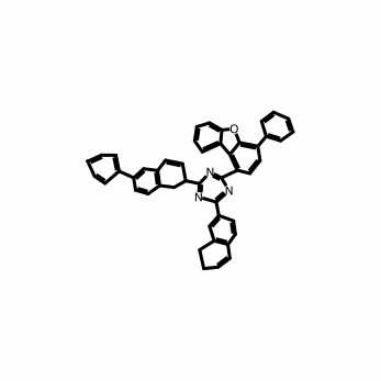 C1=Cc2ccc(-c3nc(-c4ccc(-c5ccccc5)c5oc6ccccc6c45)nc(C4C=Cc5cc(-c6ccccc6)ccc5C4)n3)cc2CC1